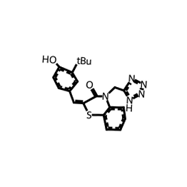 CC(C)(C)c1cc(C=C2Sc3ccccc3N(Cc3nnn[nH]3)C2=O)ccc1O